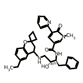 CCc1ccc2c(c1)C(NC[C@@H](O)[C@H](Cc1ccccc1)NC(=O)c1cc(-c3ccccn3)c(=O)n(C)c1)CC1(CCC1)O2